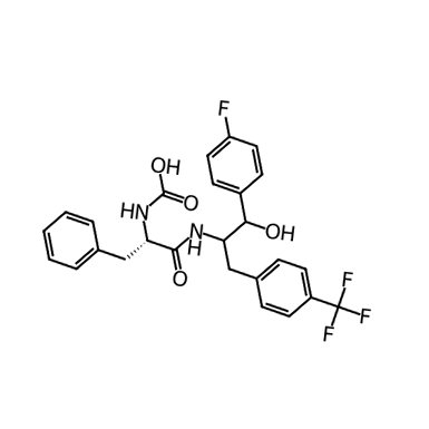 O=C(O)N[C@@H](Cc1ccccc1)C(=O)NC(Cc1ccc(C(F)(F)F)cc1)C(O)c1ccc(F)cc1